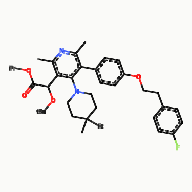 CCC1(C)CCN(c2c(-c3ccc(OCCc4ccc(F)cc4)cc3)c(C)nc(C)c2C(OC(C)(C)C)C(=O)OC(C)C)CC1